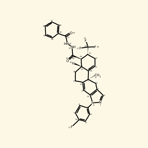 C[C@]12Cc3cnn(-c4ccc(F)cc4)c3C=C1CC[C@H]1C2=CC[C@@H](C(F)(F)F)[C@@H]1C(=O)NNC(=O)c1ccccc1